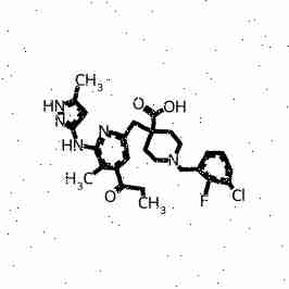 CCC(=O)c1cc(CC2(C(=O)O)CCN(Cc3cccc(Cl)c3F)CC2)nc(Nc2cc(C)[nH]n2)c1C